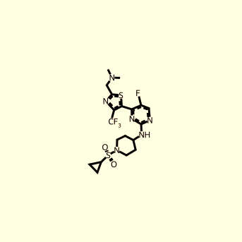 CN(C)Cc1nc(C(F)(F)F)c(-c2nc(NC3CCN(S(=O)(=O)C4CC4)CC3)ncc2F)s1